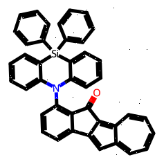 O=C1c2c3cccccc-3cc2-c2cccc(N3c4ccccc4[Si](c4ccccc4)(c4ccccc4)c4ccccc43)c21